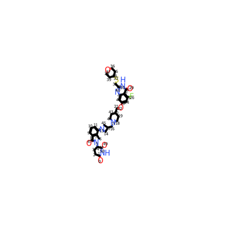 O=C1CCC(N2Cc3c(cccc3N3CC(CN4CCC(COc5cc(F)c6c(=O)[nH]c(CSC7CCOCC7)nc6c5)CC4)C3)C2=O)C(=O)N1